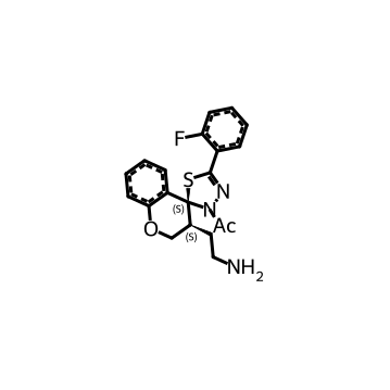 CC(=O)N1N=C(c2ccccc2F)S[C@@]12c1ccccc1OC[C@@H]2CCN